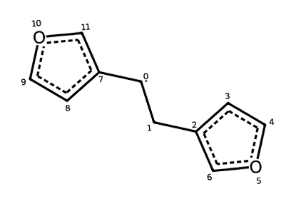 [CH](Cc1ccoc1)c1ccoc1